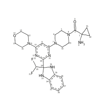 NC1(C(=O)N2CCN(c3cc(N4CCOCC4)nc(C4(C(F)F)Nc5ccccc5N4)n3)CC2)CC1